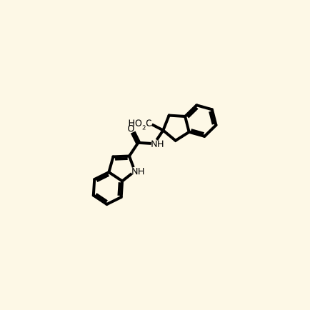 O=C(NC1(C(=O)O)Cc2ccccc2C1)c1cc2ccccc2[nH]1